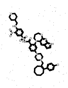 O=C(NS(=O)(=O)c1ccc(NCC2CCOCC2)c([N+](=O)[O-])c1)c1ccc(N2CCN(C/C3=C(\c4ccc(Cl)cc4)CCCCCC3)CC2)cc1N1CCCOc2nc3[nH]ccc3cc21